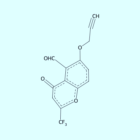 C#CCOc1ccc2oc(C(F)(F)F)cc(=O)c2c1C=O